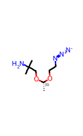 C[C@@H](OCCN=[N+]=[N-])OCC(C)(C)N